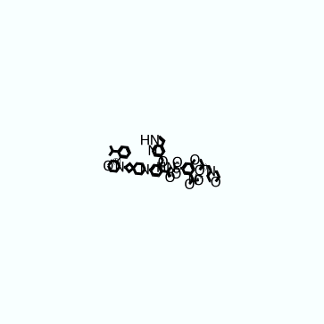 CC(C)c1ccccc1[C@@H]1COCCN1C1CC2(CCN(c3ccc(C(=O)NS(=O)(=O)c4cc5c(c([N+](=O)[O-])c4)O[C@H](CN4CCOCC4)CO5)c(Oc4cnc5[nH]ccc5c4)c3)CC2)C1